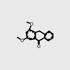 COc1cc(OC)c2c(c1)C(=O)c1ccccc1C2